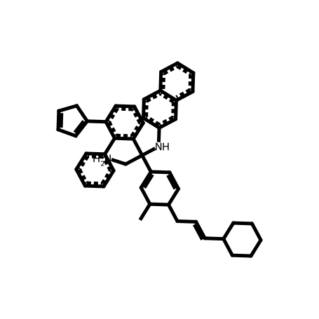 CC1C=C(C(CN)(Nc2ccc3ccccc3c2)c2cccc(C3=CC=CC3)c2-c2ccccc2)C=CC1CC=CC1CCCCC1